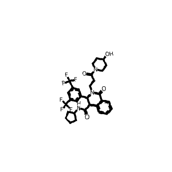 O=C(NC1CCCC1)C1c2ccccc2C(=O)N(CCC(=O)N2CCC(O)CC2)C1c1cc(C(F)(F)F)cc(C(F)(F)F)c1